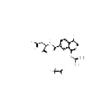 N=C(N)Nc1ncc(Cl)c2ccc(C(=O)NC(CC(=O)O)C(=O)O)cc12.O=C(O)C(F)(F)F